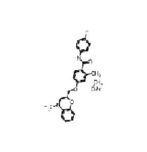 COC(C)=O.Cc1cc(OC[C@@H]2CN(C)c3ccccc3O2)ccc1C(=O)Nc1ccc(F)cc1